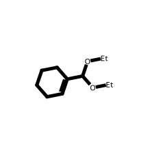 CCOC(OCC)C1=CCCCC1